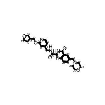 O=C(NCc1ccnc(OCC2CCOC2)c1)c1nc2ccc(CN3CCOCC3)cc2c(=O)[nH]1